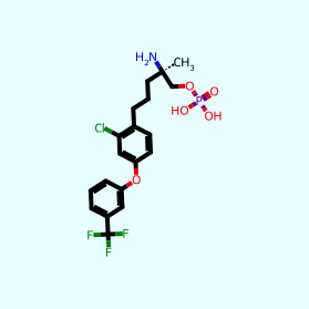 C[C@@](N)(CCCc1ccc(Oc2cccc(C(F)(F)F)c2)cc1Cl)COP(=O)(O)O